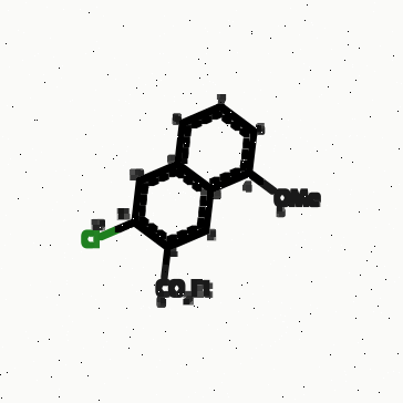 CCOC(=O)c1cc2c(OC)cccc2cc1Cl